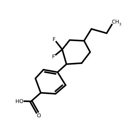 CCCC1CCC(C2=CCC(C(=O)O)C=C2)C(F)(F)C1